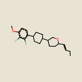 CC/C=C/C1CCC(C2CCC(c3ccc(OC)c(F)c3F)CC2)CO1